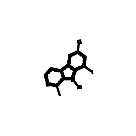 CCn1c2c(I)cc(Cl)cc2c2ccnc(C)c21